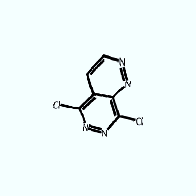 Clc1nnc(Cl)c2nnccc12